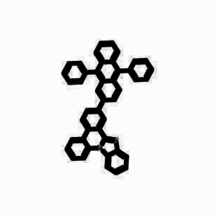 c1ccc(-c2c3ccccc3c(-c3ccccc3)c3cc(-c4ccc5c6ccccc6n6c7ccccc7nc6c5c4)ccc23)cc1